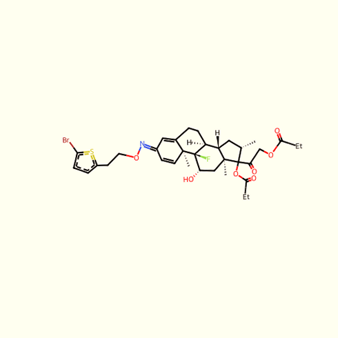 CCC(=O)OCC(=O)C1(OC(=O)CC)[C@@H](C)C[C@H]2[C@@H]3CCC4=C/C(=N/OCCc5ccc(Br)s5)C=C[C@]4(C)[C@@]3(F)[C@@H](O)C[C@@]21C